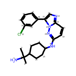 CC(C)(N)C1CCC(Nc2ccc3ncc(-c4cccc(Cl)c4)n3n2)CC1